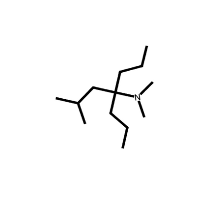 CCCC(CCC)(CC(C)C)N(C)C